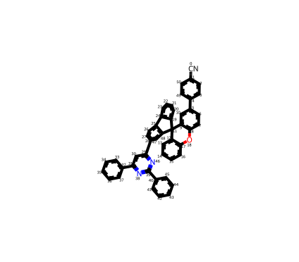 N#Cc1ccc(-c2ccc3c(c2)C2(c4ccccc4O3)c3ccccc3-c3ccc(-c4cc(-c5ccccc5)nc(-c5ccccc5)n4)cc32)cc1